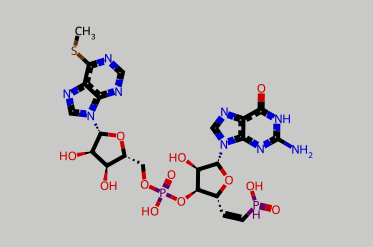 CSc1ncnc2c1ncn2[C@@H]1O[C@H](COP(=O)(O)O[C@H]2[C@@H](O)[C@H](n3cnc4c(=O)[nH]c(N)nc43)O[C@@H]2/C=C\[PH](=O)O)[C@@H](O)[C@H]1O